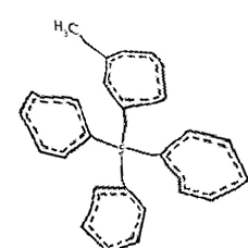 Cc1cccc(S(c2ccccc2)(c2ccccc2)c2ccccc2)c1